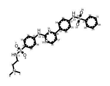 CN(C)CCNS(=O)(=O)c1ccc(Nc2nccc(-c3ccc(NS(=O)(=O)c4ccccc4)cc3)n2)cc1